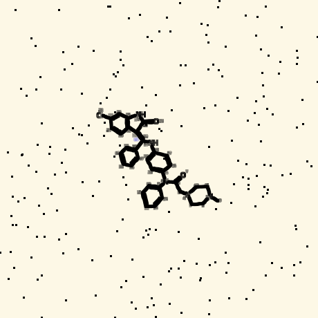 CN1CCN(CC(=O)N(c2ccccc2)c2ccc(N/C(=C3\C(=O)Nc4cc(Cl)ccc43)c3ccccc3)cc2)CC1